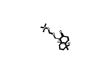 CC1(C)CCC[C@]2(C)[C@@H](COCO[Si](C)(C)C)C(=O)CC[C@@H]12